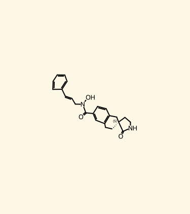 O=C(c1ccc2c(c1)CC[C@@]1(CCNC1=O)C2)N(O)CC=Cc1ccccc1